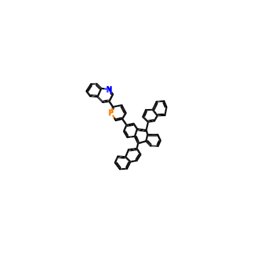 c1ccc2cc(-c3c4ccccc4c(-c4ccc5ccccc5c4)c4cc(-c5ccc(-c6cnc7ccccc7c6)pc5)ccc34)ccc2c1